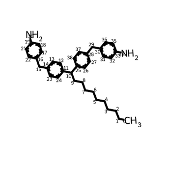 CCCCCCCCCCC(c1ccc(Cc2ccc(N)cc2)cc1)c1ccc(Cc2ccc(N)cc2)cc1